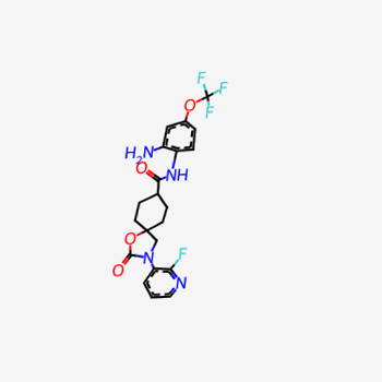 Nc1cc(OC(F)(F)F)ccc1NC(=O)C1CCC2(CC1)CN(c1cccnc1F)C(=O)O2